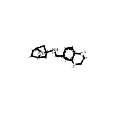 c1cc2c(cc1CNC1CC3CCC(C1)N3)OCCO2